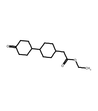 CCOC(=O)CC1CCC(C2CCC(=O)CC2)CC1